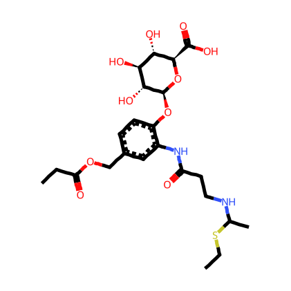 CCSC(C)NCCC(=O)Nc1cc(COC(=O)CC)ccc1O[C@@H]1O[C@H](C(=O)O)[C@@H](O)[C@H](O)[C@H]1O